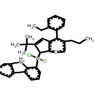 CCCc1ccc2c(c1-c1ccccc1CC)C=C(C(C)(C)C)[CH]2[Zr]([Cl])([Cl])[c]1cccc2c1[SiH2]c1ccccc1-2